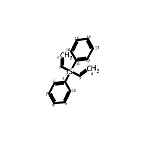 C=CS(C=C)(c1ccccc1)c1ccccc1